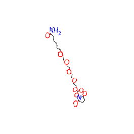 NC(=O)CCCCCOCCOCCOCCOCCOC(=O)ON1C(=O)CCC1=O